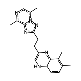 CC1=C(C)C2=NC(CCc3nc4c(C)ncc(C)n4n3)=CNC2C=C1